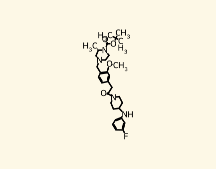 COc1cc(CC(=O)N2CCC(Nc3cccc(F)c3)CC2)ccc1CN1CCN(C(=O)OC(C)(C)C)[C@@H](C)C1